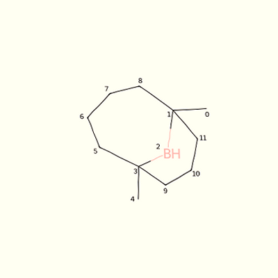 CC12BC(C)(CCCC1)CCC2